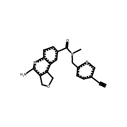 C#Cc1ccc(CN(C)C(=O)c2ccc3nc(N)c4c(c3c2)COC4)nc1